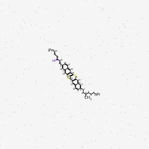 CC(C)CCCC(C)CCc1ccc2cc3c(cc2c1)SC1=CC3Sc2cc3cc(CCC(I)CCCC(C)C)ccc3cc21